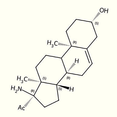 CC(=O)[C@@]1(N)CC[C@H]2[C@@H]3CC=C4C[C@@H](O)CC[C@]4(C)C3CC[C@@]21C